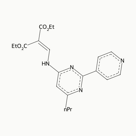 CCCc1cc(NC=C(C(=O)OCC)C(=O)OCC)nc(-c2ccncc2)n1